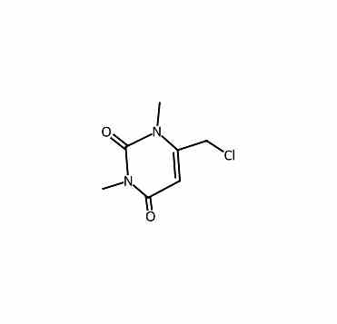 Cn1c(CCl)cc(=O)n(C)c1=O